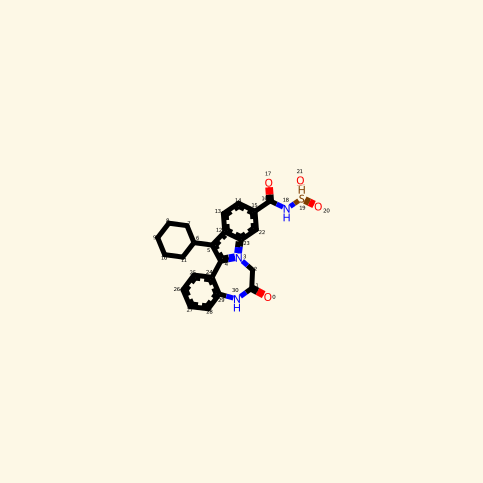 O=C1Cn2c(c(C3CCCCC3)c3ccc(C(=O)N[SH](=O)=O)cc32)-c2ccccc2N1